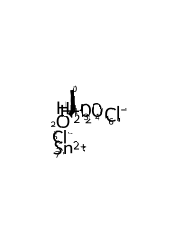 CCO.O.O.[Cl-].[Cl-].[Sn+2]